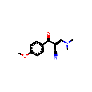 COc1ccc(C(=O)/C(C#N)=C/N(C)C)cc1